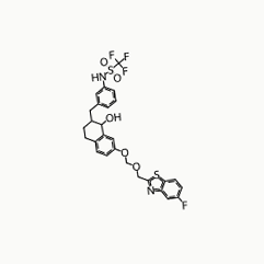 O=S(=O)(Nc1cccc(CC2CCc3ccc(OCOCc4nc5cc(F)ccc5s4)cc3C2O)c1)C(F)(F)F